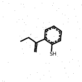 C=C(CC)c1ccccc1S